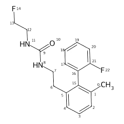 Cc1cccc(CCNC(=O)NCCF)c1-c1ccccc1F